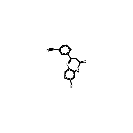 N#Cc1cccc(C2=Nc3ccc(Br)cc3NC(=O)C2)c1